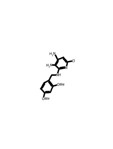 COc1ccc(CNc2nc(Cl)cc(N)c2N)c(OC)c1